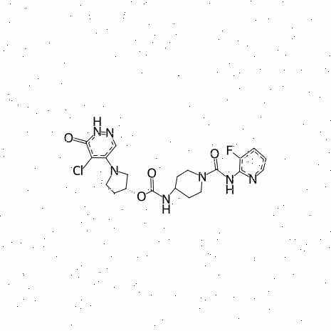 O=C(NC1CCN(C(=O)Nc2ncccc2F)CC1)O[C@@H]1CCN(c2cn[nH]c(=O)c2Cl)C1